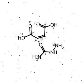 NNC(N)=O.O=C(O)/C=C\C(=O)O